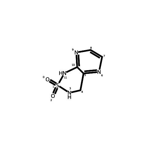 O=S1(=O)NCc2nccnc2N1